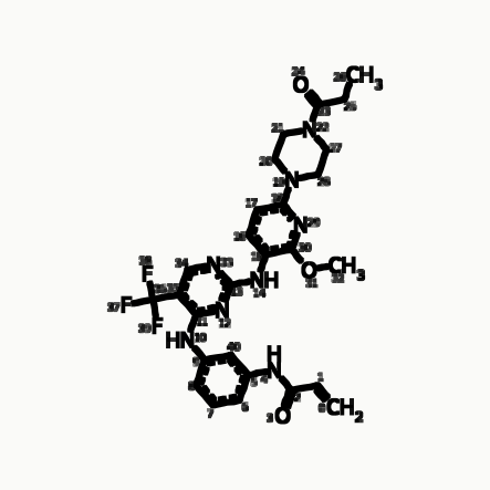 C=CC(=O)Nc1cccc(Nc2nc(Nc3ccc(N4CCN(C(=O)CC)CC4)nc3OC)ncc2C(F)(F)F)c1